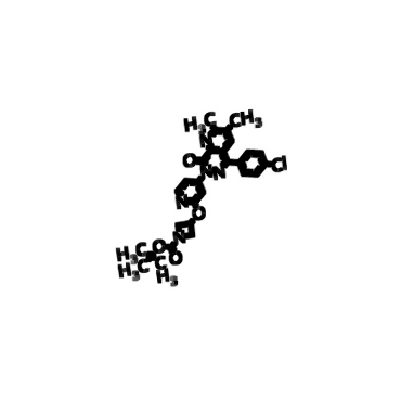 Cc1cc2c(-c3ccc(Cl)cc3)nn(-c3ccnc(OC4CN(C(=O)OC(C)(C)C)C4)c3)c(=O)c2nc1C